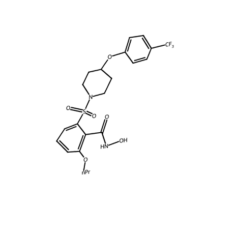 CCCOc1cccc(S(=O)(=O)N2CCC(Oc3ccc(C(F)(F)F)cc3)CC2)c1C(=O)NO